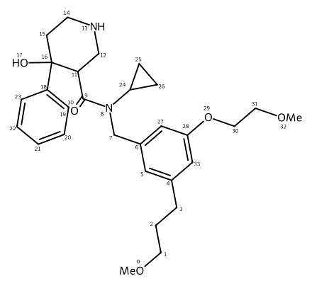 COCCCc1cc(CN(C(=O)C2CNCCC2(O)c2ccccc2)C2CC2)cc(OCCOC)c1